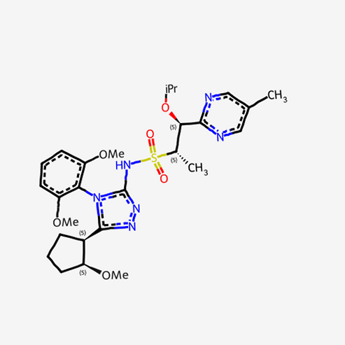 COc1cccc(OC)c1-n1c(NS(=O)(=O)[C@@H](C)[C@@H](OC(C)C)c2ncc(C)cn2)nnc1[C@@H]1CCC[C@@H]1OC